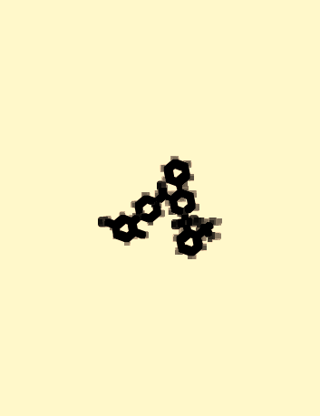 Cc1ccc(Cl)cc1N1CCN(C(=O)[C@@H]2CN(S(=O)(=O)c3ccccc3C(F)(F)F)CC[C@@H]2c2ccccc2)CC1